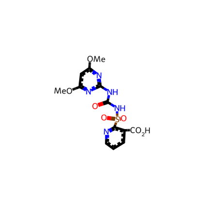 COc1cc(OC)nc(NC(=O)NS(=O)(=O)c2ncccc2C(=O)O)n1